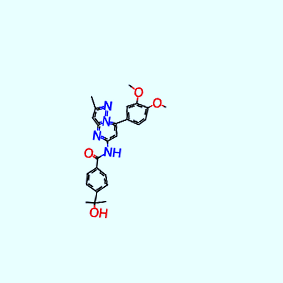 COc1ccc(-c2cc(NC(=O)c3ccc(C(C)(C)O)cc3)nc3cc(C)nn23)cc1OC